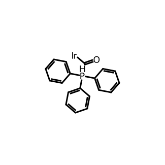 O=[C]([Ir])[PH](c1ccccc1)(c1ccccc1)c1ccccc1